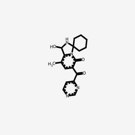 Cc1cc(C(=O)c2ccncn2)c(=O)n2c1C(O)NC21CCCCC1